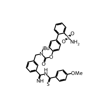 CCC(C)N(Cc1cccc(C(=N)NC(=S)c2ccc(OC)cc2)c1)C(=O)Oc1ccc(-c2ccccc2S(N)(=O)=O)cc1